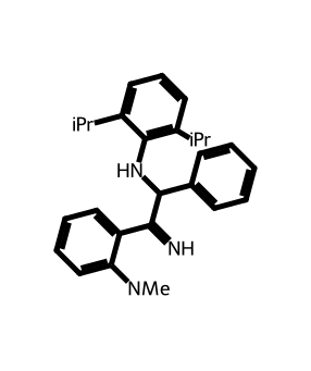 CNc1ccccc1C(=N)C(Nc1c(C(C)C)cccc1C(C)C)c1ccccc1